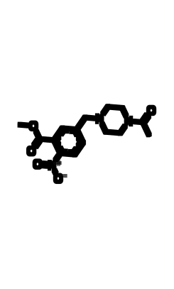 COC(=O)c1cc(CN2CCN(C(C)=O)CC2)ccc1[N+](=O)[O-]